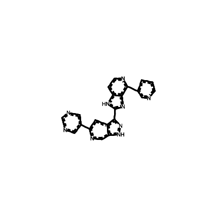 c1cncc(-c2nccc3[nH]c(-c4n[nH]c5cnc(-c6cncnc6)cc45)nc23)c1